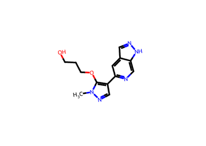 Cn1ncc(-c2cc3cn[nH]c3cn2)c1OCCCO